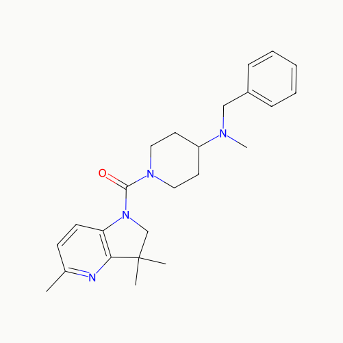 Cc1ccc2c(n1)C(C)(C)CN2C(=O)N1CCC(N(C)Cc2ccccc2)CC1